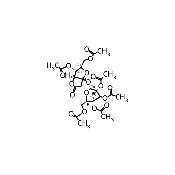 CC(=O)OC[C@H]1O[C@]2(O[C@H]3O[C@H](COC(C)=O)[C@@H](OC(C)=O)[C@H](OC(C)=O)[C@H]3OC(C)=O)CC(=O)O[C@H]2[C@@H]1OC(C)=O